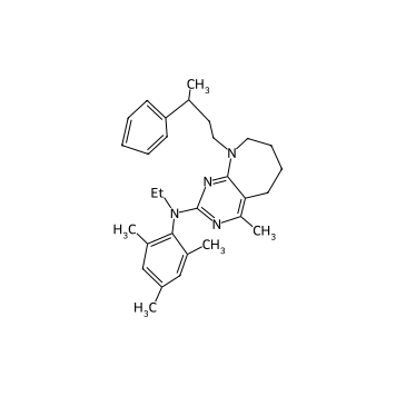 CCN(c1nc(C)c2c(n1)N(CCC(C)c1ccccc1)CCCC2)c1c(C)cc(C)cc1C